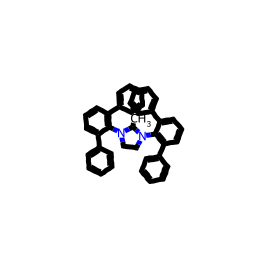 CC1N(c2c(-c3ccccc3)cccc2-c2ccccc2)CCN1c1c(-c2ccccc2)cccc1-c1ccccc1